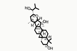 CC(C)C(O)[C@H]1C[C@@H](C)[C@H]2[C@H](O1)[C@H](O)[C@@]1(C)[C@@H]3CC[C@H]4C(C)(C)[C@@H](O)CC[C@@]45C[C@@]35CC[C@]21C